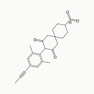 CC#Cc1cc(C)c(C2C(=O)CC3(CCC([SH](=O)=O)CC3)CC2=O)c(C)c1